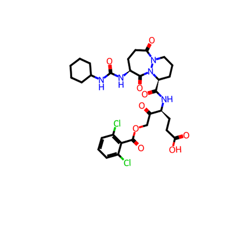 O=C(O)CC[C@H](NC(=O)[C@@H]1CCCN2C(=O)CC[C@H](NC(=O)NC3CCCCC3)C(=O)N12)C(=O)COC(=O)c1c(Cl)cccc1Cl